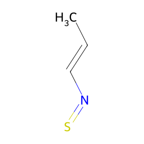 CC=CN=S